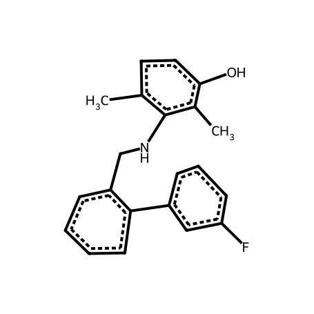 Cc1ccc(O)c(C)c1NCc1ccccc1-c1cccc(F)c1